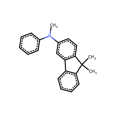 CN(c1ccccc1)c1ccc2c(c1)-c1ccccc1C2(C)C